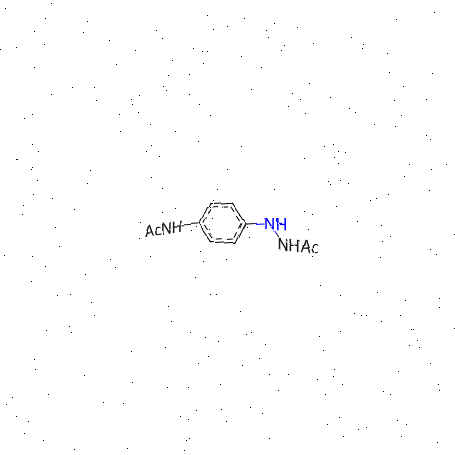 CC(=O)NNc1ccc(NC(C)=O)cc1